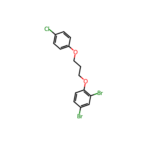 Clc1ccc(OCCCOc2ccc(Br)cc2Br)cc1